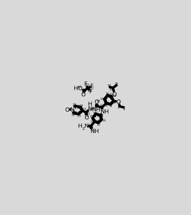 CCOc1cc(C(Nc2ccc(C(=N)N)cc2)C(=O)NNC(=O)c2cc[n+]([O-])cc2)ccc1OC(C)C.O=C(O)C(F)(F)F